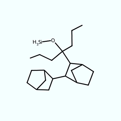 CCCC(CCC)(O[SiH3])C1C2CCC(C2)C1C1CC2CCC1C2